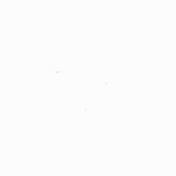 CNS(=O)(=O)OCC1OC(C)(C)Oc2ccccc21